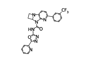 O=C(Nc1nnc(-c2ccccn2)o1)N1c2nc(-c3cccc(C(F)(F)F)c3)ccc2N2CCC21